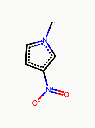 [CH2]n1ccc([N+](=O)[O-])c1